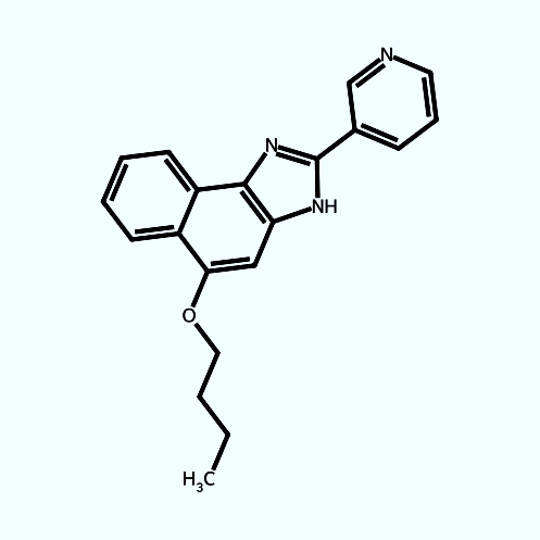 CCCCOc1cc2[nH]c(-c3cccnc3)nc2c2ccccc12